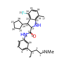 CNCCC(C)c1cccc(NC(=O)C2Nc3c(C)ccc(F)c3C2C2CCCC2)c1